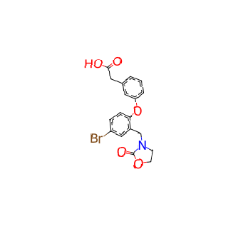 O=C(O)Cc1cccc(Oc2ccc(Br)cc2CN2CCOC2=O)c1